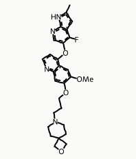 COc1cc2c(Oc3cnc4[nH]c(C)cc4c3F)ccnc2cc1OCCCN1CCC2(CC1)COC2